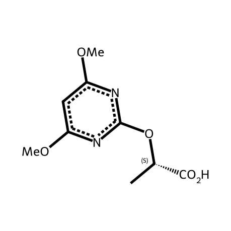 COc1cc(OC)nc(O[C@@H](C)C(=O)O)n1